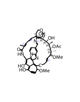 COC1C#CC(O)=c2c(O)c3c4c(nc5cc(/C=N/N6CCOCC6)ccn54)c2=C1CC/C=C/[C@H](OC)[C@@H](C)[C@@H](OC(C)=O)[C@H](C)[C@H](O)[C@H](C)[C@@H](O)[C@@H](C)/C=C/C=C(/C)C(=O)N3